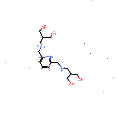 OCC(CO)CNCc1cccc(CNCC(CO)CO)n1